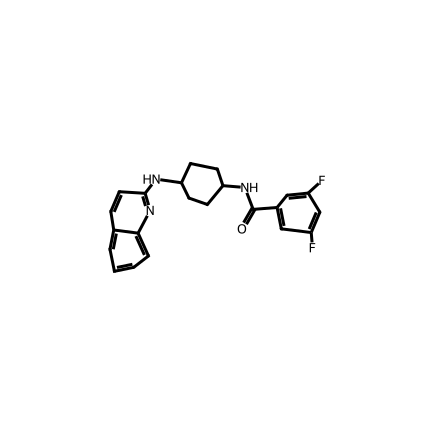 O=C(NC1CCC(Nc2ccc3ccccc3n2)CC1)c1cc(F)cc(F)c1